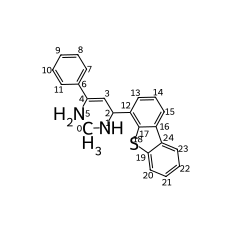 CNC(/C=C(\N)c1ccccc1)c1cccc2c1sc1ccccc12